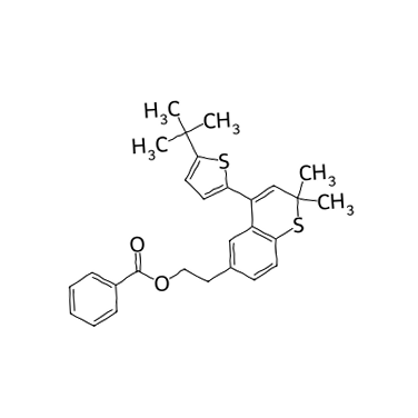 CC1(C)C=C(c2ccc(C(C)(C)C)s2)c2cc(CCOC(=O)c3ccccc3)ccc2S1